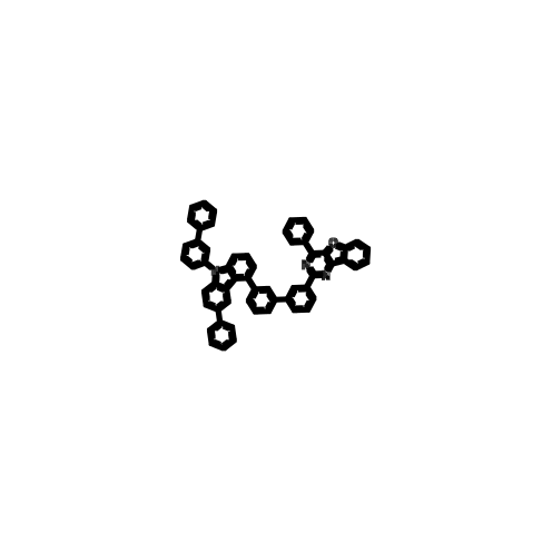 c1ccc(-c2cccc(-n3c4ccc(-c5ccccc5)cc4c4c(-c5cccc(-c6cccc(-c7nc(-c8ccccc8)c8oc9ccccc9c8n7)c6)c5)cccc43)c2)cc1